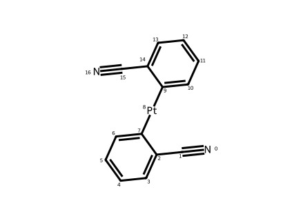 N#Cc1cccc[c]1[Pt][c]1ccccc1C#N